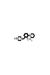 Cc1c(CN2CCNCC2)cccc1N1CC[CH]CC1